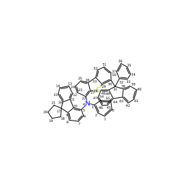 c1ccc(N(c2cccc3c2-c2ccccc2C32CCCC2)c2cccc3c2sc2c(C4(c5ccccc5)c5ccccc5-c5ccccc54)cccc23)cc1